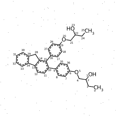 CCC(O)COc1ccc(-c2ccc3c(c2-c2ccc(OCC(O)CC)cc2)Cc2ccccc2-3)cc1